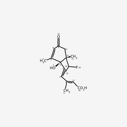 CC(C=C[C@]1(O)C(C)=CC(=O)C[C@]1(C)C(F)F)=CC(=O)O